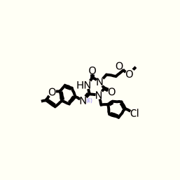 COC(=O)CCn1c(=O)[nH]/c(=N\c2ccc3oc(C)cc3c2)n(Cc2ccc(Cl)cc2)c1=O